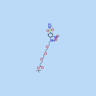 CC(C)(C)OC(=O)CCOCCOCCOCCNc1ccc(S(N)(=O)=O)cc1[N+](=O)[O-]